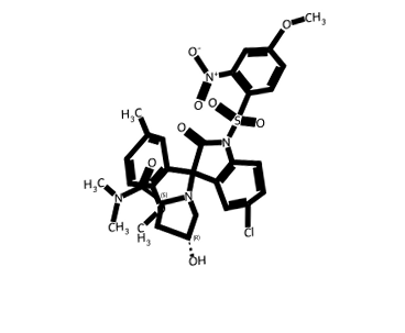 COc1ccc(S(=O)(=O)N2C(=O)C(c3cc(C)ccc3OC)(N3C[C@H](O)C[C@H]3C(=O)N(C)C)c3cc(Cl)ccc32)c([N+](=O)[O-])c1